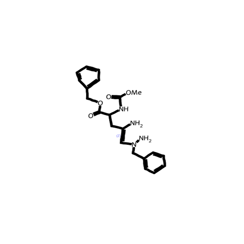 COC(=O)NC(C/C(N)=C/N(N)Cc1ccccc1)C(=O)OCc1ccccc1